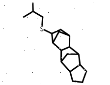 CC(C)CSC1CC2CC1C1C3CC(C4CCCC43)C21